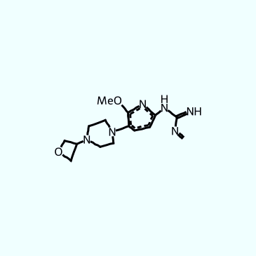 C=NC(=N)Nc1ccc(N2CCN(C3COC3)CC2)c(OC)n1